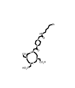 CC(C)CCCCNC(=O)CN1CCN(C(=O)CN2CCN(CC(=O)O)CCN(CC(=O)O)CCN(CC(=O)O)CC2)CC1